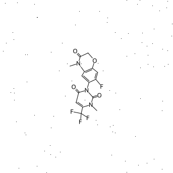 CN1C(=O)COc2cc(F)c(-n3c(=O)cc(C(F)(F)F)n(C)c3=O)cc21